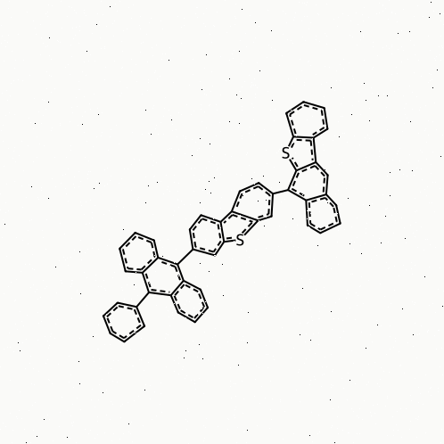 c1ccc(-c2c3ccccc3c(-c3ccc4c(c3)sc3cc(-c5c6ccccc6cc6c5sc5ccccc56)ccc34)c3ccccc23)cc1